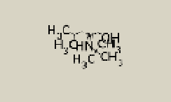 CC(C)C[C@H](CO)NC(C)(C)C